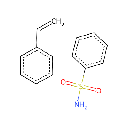 C=Cc1ccccc1.NS(=O)(=O)c1ccccc1